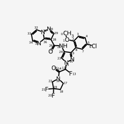 COc1ccc(Cl)cc1-c1nn(C(F)C(=O)N2CCC(F)(F)C2)cc1NC(=O)c1cnn2cccnc12